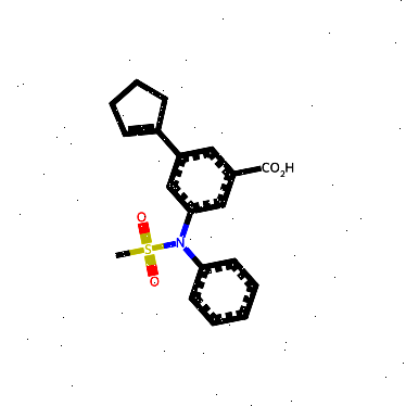 CS(=O)(=O)N(c1ccccc1)c1cc(C(=O)O)cc(C2=CCCC2)c1